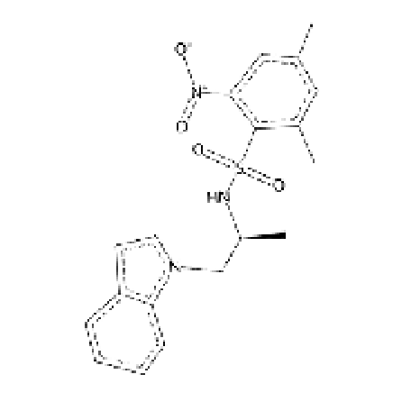 Cc1cc(C)c(S(=O)(=O)N[C@@H](C)Cn2ccc3ccccc32)c([N+](=O)[O-])c1